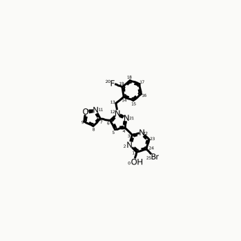 Oc1nc(-c2cc(-c3ccon3)n(Cc3ccccc3F)n2)ncc1Br